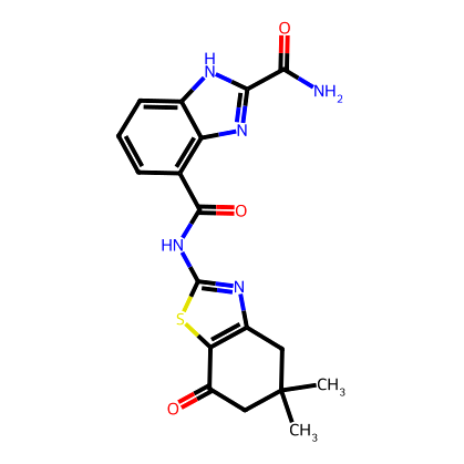 CC1(C)CC(=O)c2sc(NC(=O)c3cccc4[nH]c(C(N)=O)nc34)nc2C1